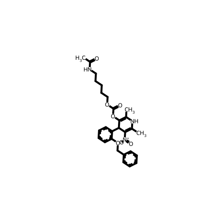 CC(=O)NCCCCCOC(=O)OC1=C(C)NC(C)=C([N+](=O)[O-])C1c1ccccc1OCc1ccccc1